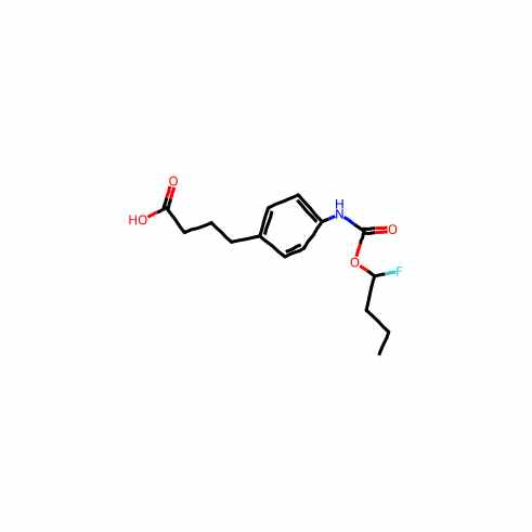 CCCC(F)OC(=O)Nc1ccc(CCCC(=O)O)cc1